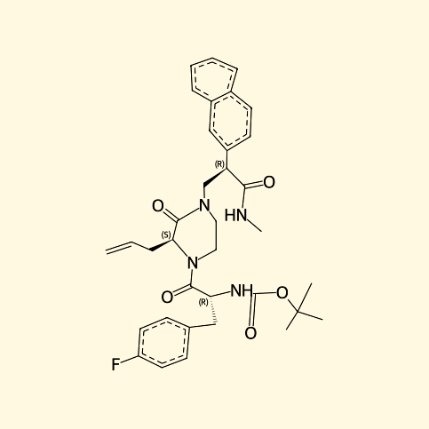 C=CC[C@H]1C(=O)N(C[C@H](C(=O)NC)c2ccc3ccccc3c2)CCN1C(=O)[C@@H](Cc1ccc(F)cc1)NC(=O)OC(C)(C)C